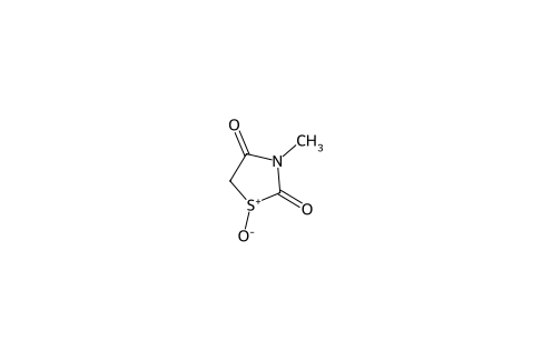 CN1C(=O)C[S+]([O-])C1=O